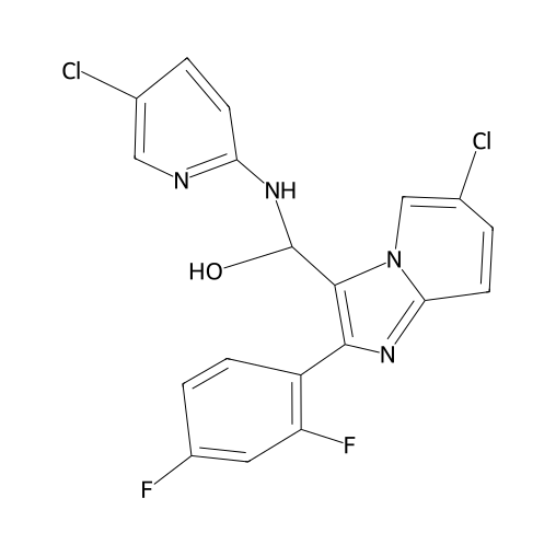 OC(Nc1ccc(Cl)cn1)c1c(-c2ccc(F)cc2F)nc2ccc(Cl)cn12